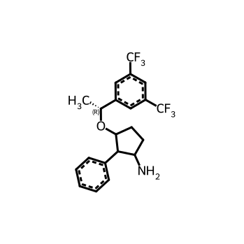 C[C@@H](OC1CCC(N)C1c1ccccc1)c1cc(C(F)(F)F)cc(C(F)(F)F)c1